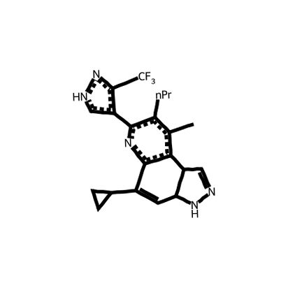 CCCc1c(-c2c[nH]nc2C(F)(F)F)nc2c(c1C)C1C=NNC1C=C2C1CC1